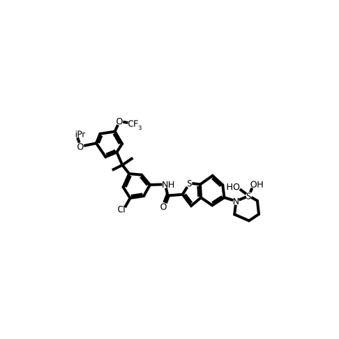 CC(C)Oc1cc(OC(F)(F)F)cc(C(C)(C)c2cc(Cl)cc(NC(=O)c3cc4cc(N5CCCCS5(O)O)ccc4s3)c2)c1